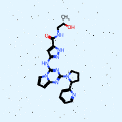 C[C@H](O)CNC(=O)c1cc(Nc2nc(N3CCCC3c3ccccn3)nc3cccn23)n[nH]1